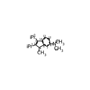 CC(C)C1=C(C(C)C)C(C)c2cc(N(C)C)ccc21